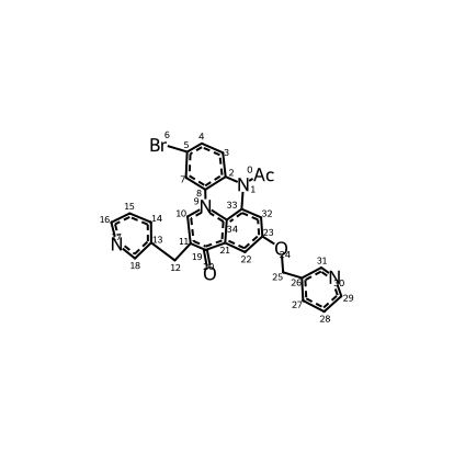 CC(=O)N1c2ccc(Br)cc2-n2cc(Cc3cccnc3)c(=O)c3cc(OCc4cccnc4)cc1c32